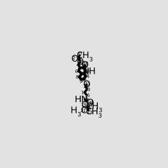 CC(=O)OCc1cc2ccc(OCCCCNC(=O)OC(C)(C)C)cc2[nH]c1=O